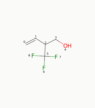 C=CC(CO)C(F)(F)F